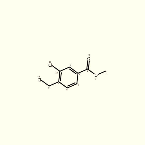 COC(=O)c1ccc(CCl)c(Cl)c1